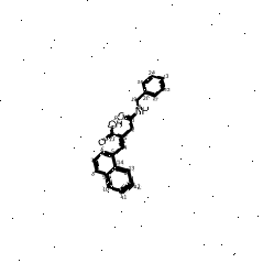 O=C(C/C(=C/c1cccc2ccccc12)C(=O)O)NCc1ccccc1